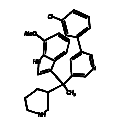 COc1cccc2c(C(C)(c3cncc(-c4cccc(Cl)c4)c3)C3CCCNC3)c[nH]c12